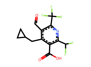 O=Cc1c(C(F)(F)F)nc(C(F)F)c(C(=O)O)c1CC1CC1